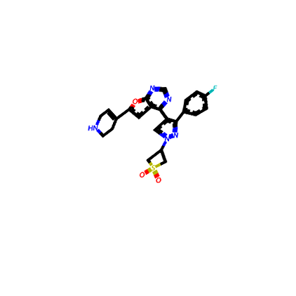 O=S1(=O)CC(n2cc(-c3ncnc4oc(C5=CCNCC5)cc34)c(-c3ccc(F)cc3)n2)C1